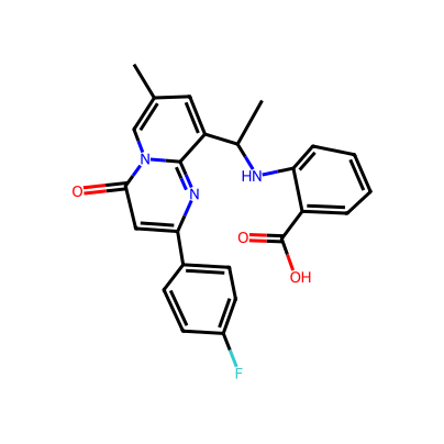 Cc1cc(C(C)Nc2ccccc2C(=O)O)c2nc(-c3ccc(F)cc3)cc(=O)n2c1